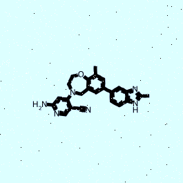 Cc1nc2cc(-c3cc(C)c4c(c3)CN(c3cc(N)ncc3C#N)CCO4)ccc2[nH]1